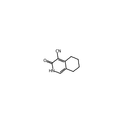 N#Cc1c2c(c[nH]c1=O)CCCC2